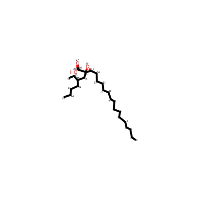 CCCCCCCCCCCCCCCC1OC1(CC(CC)CCCC)C(=O)O